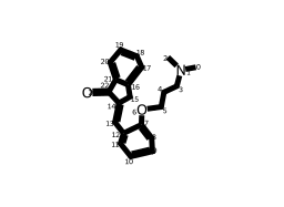 CN(C)CCCOc1ccccc1/C=C1\Cc2ccccc2C1=O